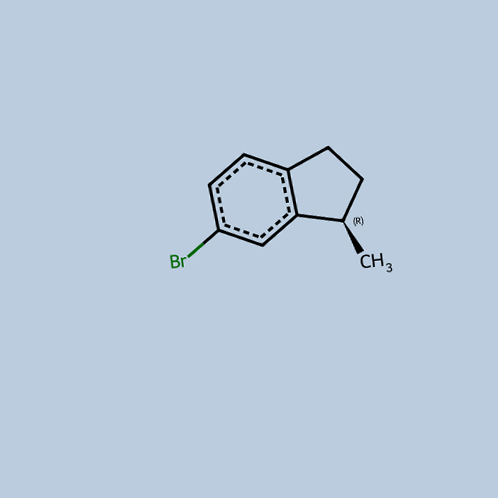 C[C@@H]1CCc2ccc(Br)cc21